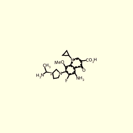 COc1c(N2CC[C@@H](C(C)N)C2)c(F)c(N)c2c(=O)c(C(=O)O)cn(C3CC3)c12